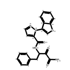 NC(=O)C(=O)C(Cc1ccccc1)NC(=O)c1ccnn1-c1coc2ccccc12